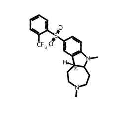 CN1CCC2[C@H](CC1)c1cc(S(=O)(=O)c3ccccc3C(F)(F)F)ccc1N2C